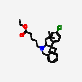 CCOC(=O)CCCCN(Cc1ccccc1)C(CC(C)C)C1(c2ccc(Cl)cc2)CCC1